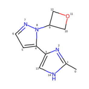 Cc1nc(-c2ccnn2C2COC2)c[nH]1